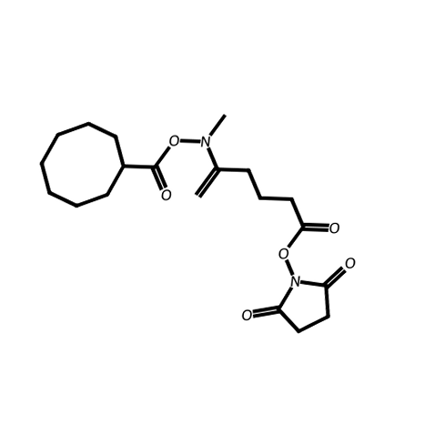 C=C(CCCC(=O)ON1C(=O)CCC1=O)N(C)OC(=O)C1CCCCCCC1